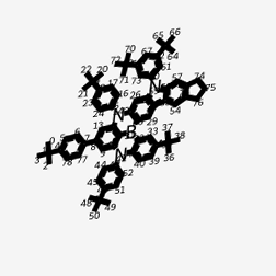 CC(C)(C)c1ccc(-c2cc3c4c(c2)N(c2ccc(C(C)(C)C)cc2)c2cc5c(cc2B4c2cc(C(C)(C)C)ccc2N3c2ccc(C(C)(C)C)cc2)c2cc3c(cc2n5-c2cc(C(C)(C)C)cc(C(C)(C)C)c2)CCC3)cc1